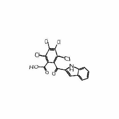 O=C(O)c1c(Cl)c(Cl)c(Cl)c(Cl)c1C(=O)c1cc2ccccc2[nH]1